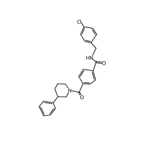 O=C(NCc1ccc(Cl)cc1)c1ccc(C(=O)N2CCCC(c3ccccc3)C2)cc1